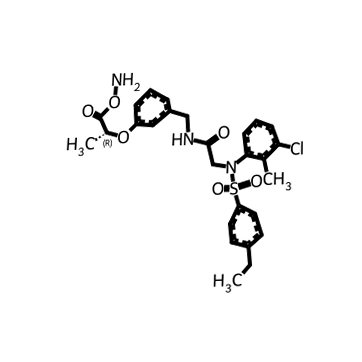 CCc1ccc(S(=O)(=O)N(CC(=O)NCc2cccc(O[C@H](C)C(=O)ON)c2)c2cccc(Cl)c2C)cc1